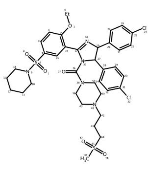 CCOc1ccc(S(=O)(=O)N2CCCCC2)cc1C1=NC(c2ccc(Cl)cc2)C(c2ccc(Cl)cc2)N1C(=O)N1CCN(CCCS(C)(=O)=O)CC1